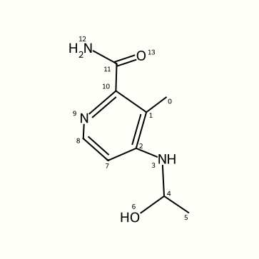 Cc1c(NC(C)O)ccnc1C(N)=O